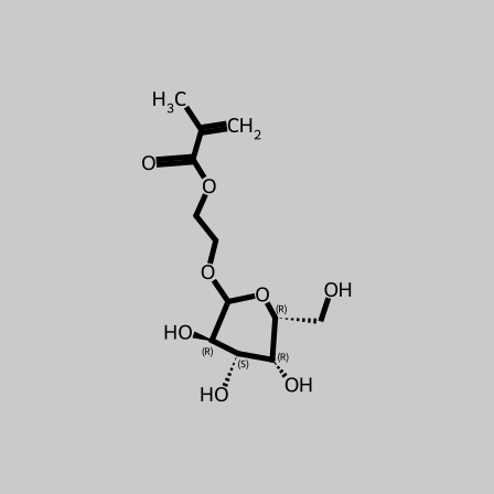 C=C(C)C(=O)OCCOC1O[C@H](CO)[C@H](O)[C@H](O)[C@H]1O